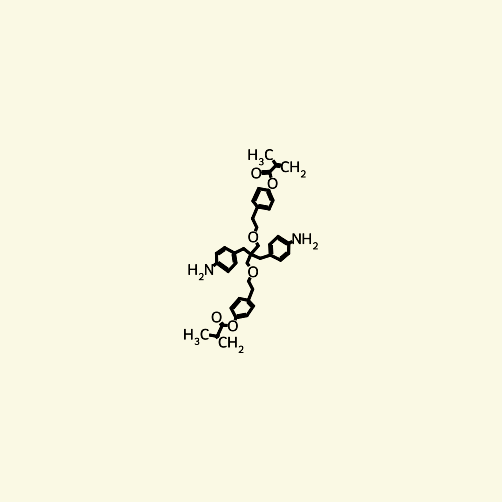 C=C(C)C(=O)Oc1ccc(CCOCC(COCCc2ccc(OC(=O)C(=C)C)cc2)(Cc2ccc(N)cc2)Cc2ccc(N)cc2)cc1